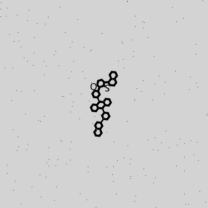 c1cc(-c2ccc3ccccc3c2)cc(-c2c3ccccc3c(-c3ccc4oc5ccc6c(sc7ccc8ccccc8c76)c5c4c3)c3ccccc23)c1